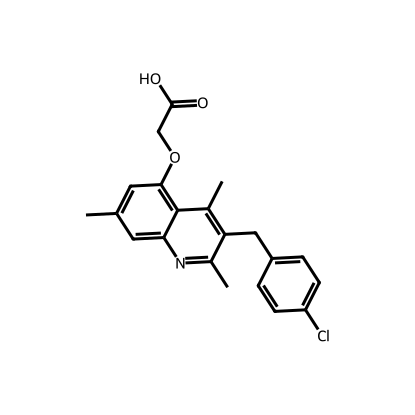 Cc1cc(OCC(=O)O)c2c(C)c(Cc3ccc(Cl)cc3)c(C)nc2c1